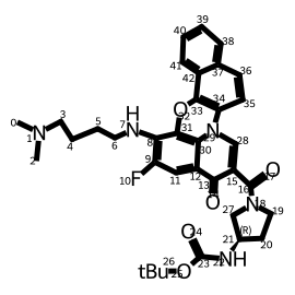 CN(C)CCCCNc1c(F)cc2c(=O)c(C(=O)N3CC[C@@H](NC(=O)OC(C)(C)C)C3)cn3c2c1Oc1c-3ccc2ccccc12